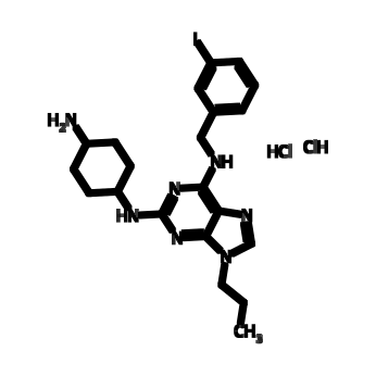 CCCn1cnc2c(NCc3cccc(I)c3)nc(NC3CCC(N)CC3)nc21.Cl.Cl